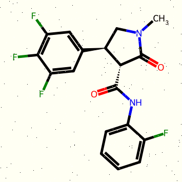 CN1C[C@H](c2cc(F)c(F)c(F)c2)[C@@H](C(=O)Nc2ccccc2F)C1=O